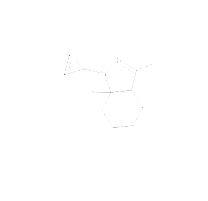 CC1=NN(C2C=C2)C2(C)CCCCC12